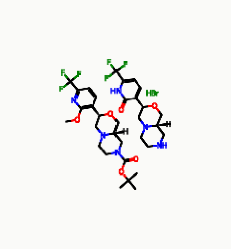 Br.COc1nc(C(F)(F)F)ccc1[C@@H]1CN2CCN(C(=O)OC(C)(C)C)C[C@H]2CO1.O=c1[nH]c(C(F)(F)F)ccc1[C@@H]1CN2CCNC[C@H]2CO1